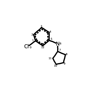 Clc1cccc([N]C2CCCC2)c1